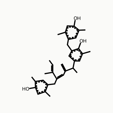 C=C(/C=C(Cc1cc(C)c(O)cc1C)\C(C)=C\C)C(C)c1cc(C)c(O)c(Cc2cc(C)c(O)cc2C)c1